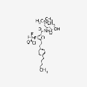 CCCCCc1ccc(CCc2ccc(C(=O)NC(CC(=O)O)C[N+](C)(C)C)o2)cc1.O=C([O-])C(F)(F)F